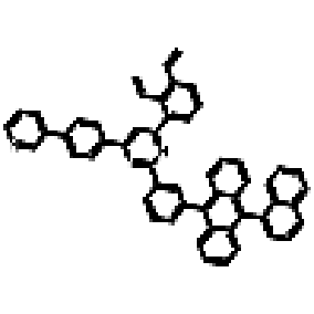 C=Cc1cccc(-c2cc(-c3ccc(-c4cccnc4)cc3)nc(-c3cccc(-c4c5ccccc5c(-c5cccc6ccccc56)c5ccccc45)c3)n2)c1C=C